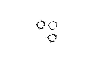 C1COCN1.c1c[nH]cn1.c1cocn1